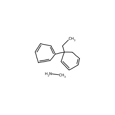 CCC1(c2ccccc2)C=CC=CC1.CN